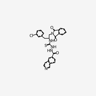 O=C(NNC(=S)NC(Cc1cccc(Cl)c1)CN1C(=O)c2ccccc2C1=O)c1ccc2cnccc2c1